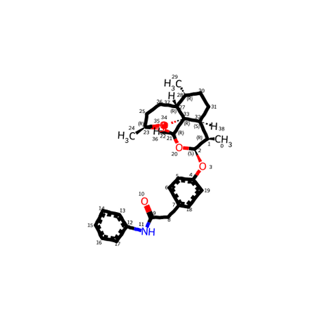 C[C@H]1[C@@H](Oc2ccc(CC(=O)Nc3ccccc3)cc2)O[C@@H]2O[C@@]3(C)CC[C@@H]4[C@H](C)CC[C@@H]1[C@@]24OO3